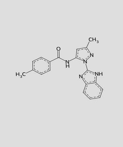 Cc1ccc(C(=O)Nc2cc(C)nn2-c2nc3ccccc3[nH]2)cc1